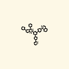 c1ccc(-c2ccc3nc(-c4cc(-c5ccc(-c6ccccn6)cc5)cc(-c5ccc(-c6nccc7ccccc67)cc5)c4)nc(-c4ccccc4)c3c2)cc1